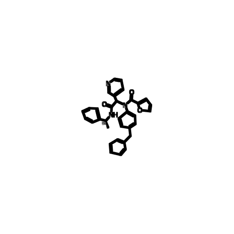 C[C@H](NC(=O)C(c1cccnc1)N(C(=O)c1ccco1)c1ccc(Cc2ccccc2)cc1)c1ccccc1